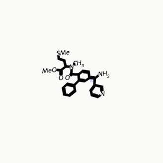 COC(=O)C(CCSC)N(C)C(=O)C1C=C/C(=C(\N)c2cccnc2)C=C1c1ccccc1